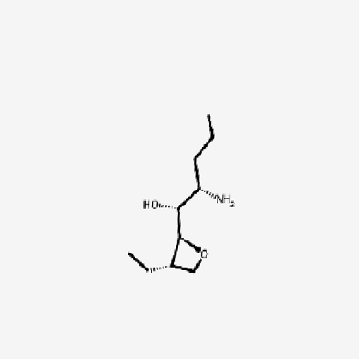 CCC[C@H](N)[C@@H](O)[C@H]1OC[C@@H]1CC